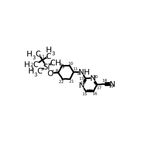 CC(C)(C)[Si](C)(C)OC1CCC(Nc2nccc(C#N)n2)CC1